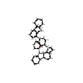 c1ccc(C2c3ccccc3-c3ccc4ccn(-c5ccc(-c6cccc7c6sc6ccccc67)cc5)c4c32)cc1